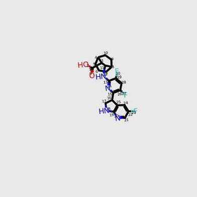 O=C(O)C1C2CCCC(CC2)C1Nc1nc(C2CNc3ncc(F)cc32)c(F)cc1F